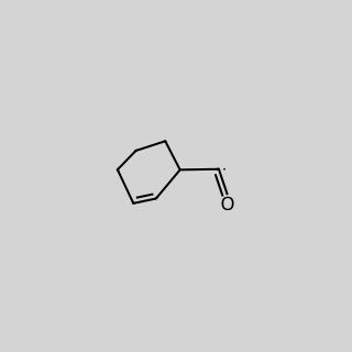 O=[C]C1C=CCCC1